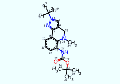 [2H]C([2H])([2H])n1cc2c(n1)-c1cccc(NC(=O)OC(C)(C)C)c1N(C)C2